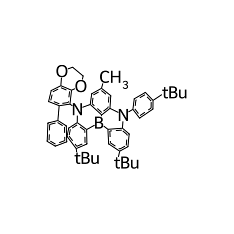 Cc1cc2c3c(c1)N(c1c(-c4ccccc4)ccc4c1OCCO4)c1ccc(C(C)(C)C)cc1B3c1cc(C(C)(C)C)ccc1N2c1ccc(C(C)(C)C)cc1